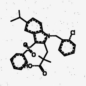 CC(C)c1ccc2c(c1)c(S(=O)(=O)c1ccccc1)c(CC(C)(C)C(=O)O)n2Cc1ccccc1Cl